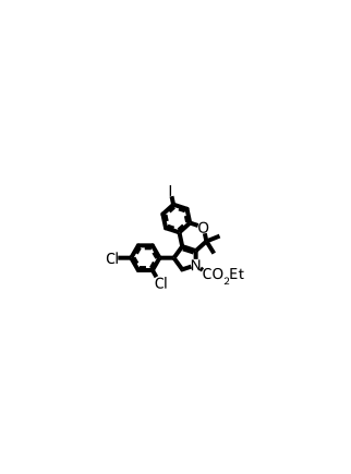 CCOC(=O)N1CC(c2ccc(Cl)cc2Cl)C2=C1C(C)(C)Oc1cc(I)ccc12